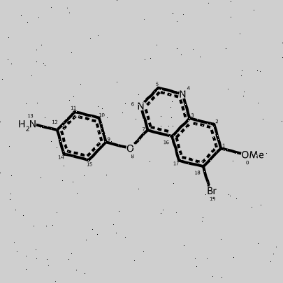 COc1cc2ncnc(Oc3ccc(N)cc3)c2cc1Br